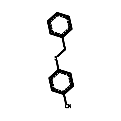 N#Cc1ccc(SCc2ccccc2)cc1